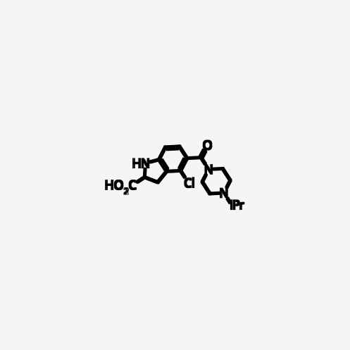 CC(C)N1CCN(C(=O)c2ccc3c(c2Cl)CC(C(=O)O)N3)CC1